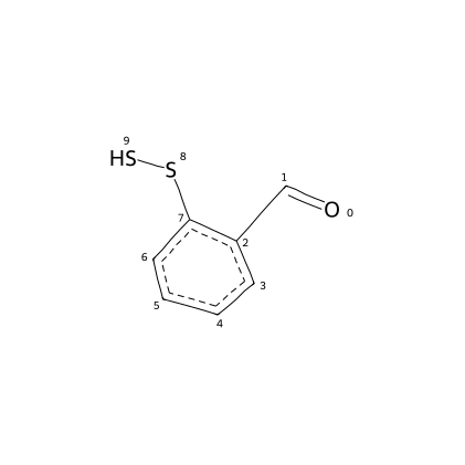 O=Cc1ccccc1SS